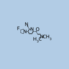 CN(C)/C=C/C(=O)c1ccc(N2CC[C@H](F)C2)c(C#N)n1